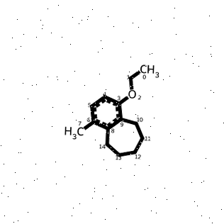 CCOc1ccc(C)c2c1CCCCC2